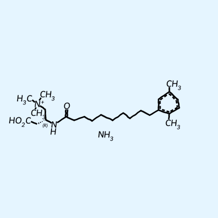 Cc1ccc(C)c(CCCCCCCCCC(=O)N[C@H](CC(=O)O)C[N+](C)(C)C)c1.N